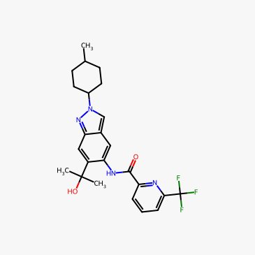 CC1CCC(n2cc3cc(NC(=O)c4cccc(C(F)(F)F)n4)c(C(C)(C)O)cc3n2)CC1